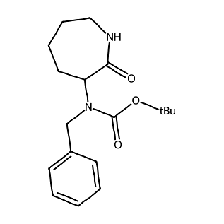 CC(C)(C)OC(=O)N(Cc1ccccc1)C1CCCCNC1=O